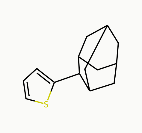 c1csc(C2C3CC4CC(C3)CC2C4)c1